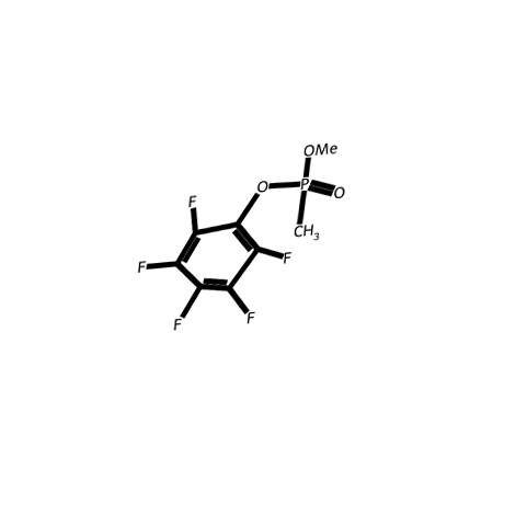 COP(C)(=O)Oc1c(F)c(F)c(F)c(F)c1F